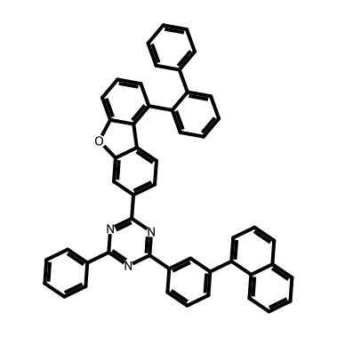 c1ccc(-c2nc(-c3cccc(-c4cccc5ccccc45)c3)nc(-c3ccc4c(c3)oc3cccc(-c5ccccc5-c5ccccc5)c34)n2)cc1